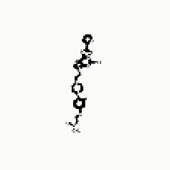 C[S@+]([O-])CCOc1ccc(N2CCN(CCn3cnc4c3nc(N)n3nc(-c5ccco5)nc43)CC2)c(F)c1